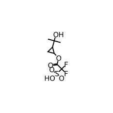 CC(C)(O)C1CC1OC(=O)C(F)(F)S(=O)(=O)O